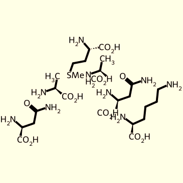 CSCC[C@H](N)C(=O)O.C[C@H](N)C(=O)O.C[C@H](N)C(=O)O.NC(=O)C[C@H](N)C(=O)O.NC(=O)C[C@H](N)C(=O)O.NCCCC[C@H](N)C(=O)O